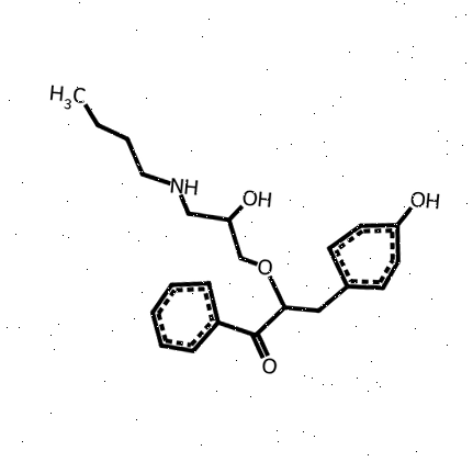 CCCCNCC(O)COC(Cc1ccc(O)cc1)C(=O)c1ccccc1